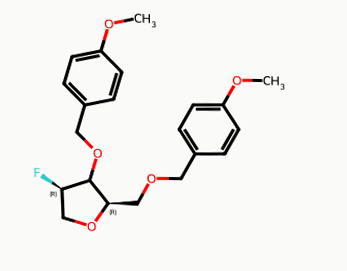 COc1ccc(COC[C@H]2OC[C@@H](F)C2OCc2ccc(OC)cc2)cc1